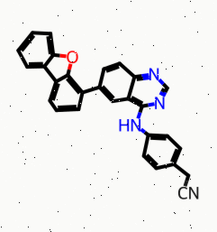 N#CCc1ccc(Nc2ncnc3ccc(-c4cccc5c4oc4ccccc45)cc23)cc1